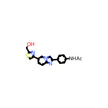 CC(=O)Nc1ccc(-c2cn3cc(-c4csc(CO)n4)ccc3n2)cc1